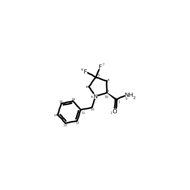 NC(=O)[C@@H]1CC(F)(F)CN1Cc1ccccc1